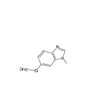 Cn1cnc2ccc(OC=O)cc21